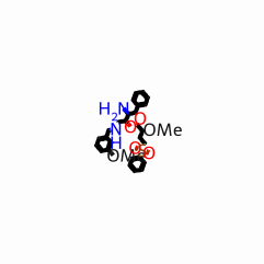 COc1cccc(CNCC(OC(=O)[C@H](CCS(=O)(=O)c2ccccc2)OC)C(N)Cc2ccccc2)c1